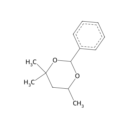 CC1CC(C)(C)OC(c2ccccc2)O1